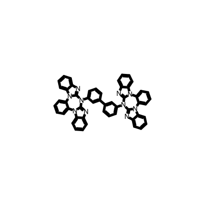 c1cc(-c2cccc(-n3c4nc5ccccc5n4c4ccccc4n4c5ccccc5nc34)c2)cc(-n2c3nc4ccccc4n3c3ccccc3n3c4ccccc4nc23)c1